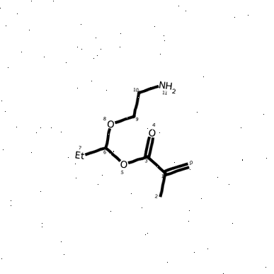 C=C(C)C(=O)OC(CC)OCCN